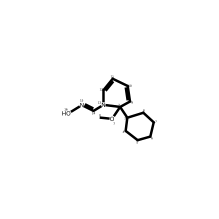 COC1(C2CCCCC2)C=CC=CN1C=NO